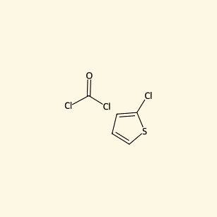 Clc1cccs1.O=C(Cl)Cl